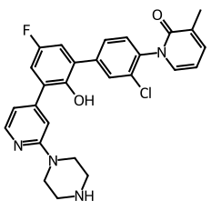 Cc1cccn(-c2ccc(-c3cc(F)cc(-c4ccnc(N5CCNCC5)c4)c3O)cc2Cl)c1=O